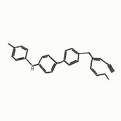 C#C/C=C(\C=C/CC)Cc1ccc(-c2ccc(Nc3ccc(C)cc3)cc2)cc1